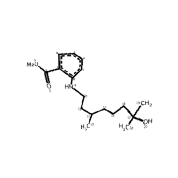 COC(=O)c1ccccc1NCCC(C)CCCC(C)(C)O